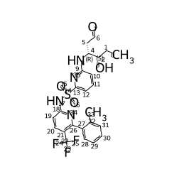 CC[C@H](O)[C@@H](CC=O)Nc1cccc(S(=O)(=O)Nc2ccc(C(F)(F)F)c(-c3ccccc3C)n2)n1